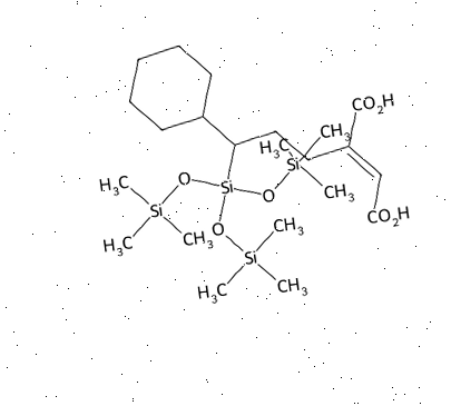 C[Si](C)(C)O[Si](O[Si](C)(C)C)(O[Si](C)(C)C)C(CC/C(=C\C(=O)O)C(=O)O)C1CCCCC1